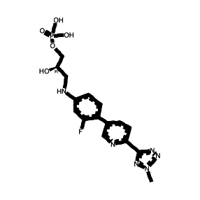 Cn1nnc(-c2ccc(-c3ccc(NC[C@@H](O)COP(=O)(O)O)cc3F)cn2)n1